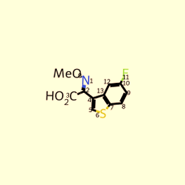 CON=C(C(=O)O)c1csc2ccc(F)cc12